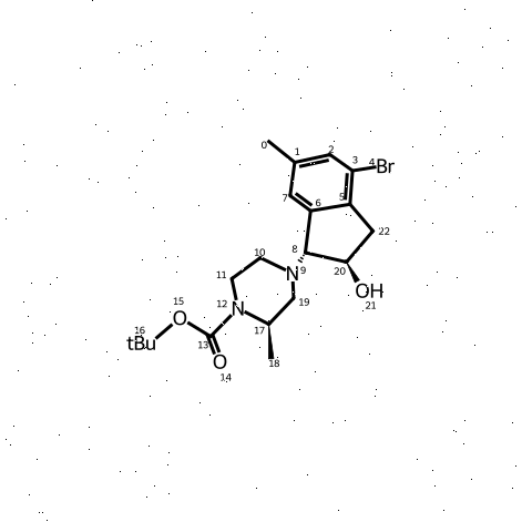 Cc1cc(Br)c2c(c1)[C@@H](N1CCN(C(=O)OC(C)(C)C)[C@H](C)C1)[C@H](O)C2